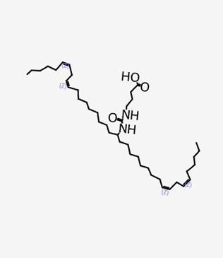 CCCCC/C=C\C/C=C\CCCCCCCCC(CCCCCCCC/C=C\C/C=C\CCCCC)NC(=O)NCCCC(=O)O